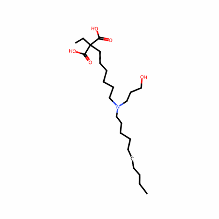 CCCCCCCCCCN(CCCO)CCCCCCC(CC)(C(=O)O)C(=O)O